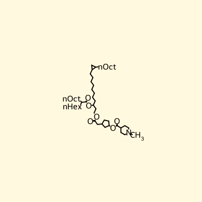 CCCCCCCCC(CCCCCC)C(=O)OC(CCCCCCCCC1CC1CCCCCCCC)CCOC(=O)CC1CCC(OC(=O)C2CCN(C)CC2)C1